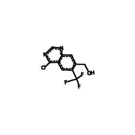 OCc1cc2ncnc(Cl)c2cc1C(F)(F)F